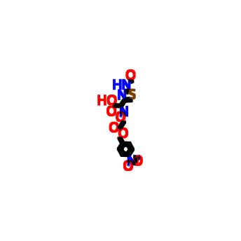 O=CNc1nc(C(=NOCC(=O)OCc2ccc([N+](=O)[O-])cc2)C(=O)O)cs1